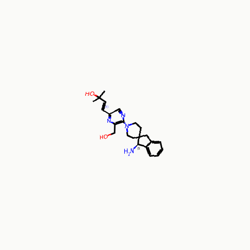 CC(C)(O)/C=C/c1cnc(N2CCC3(CC2)Cc2ccccc2[C@H]3N)c(CO)n1